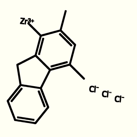 Cc1cc(C)c2c([c]1[Zr+3])Cc1ccccc1-2.[Cl-].[Cl-].[Cl-]